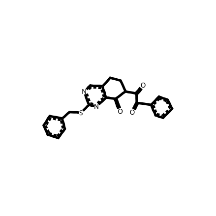 O=C(C(=O)C1CCc2cnc(SCc3ccccc3)nc2C1=O)c1ccccc1